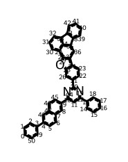 c1ccc(-c2ccc3cc(-c4cc(-c5ccccc5)nc(-c5ccc6c(c5)oc5c7cccc8c7c(cc65)-c5ccccc5-8)n4)ccc3c2)cc1